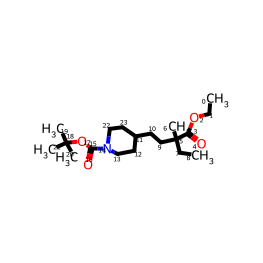 CCOC(=O)C(C)(CC)CCC1CCN(C(=O)OC(C)(C)C)CC1